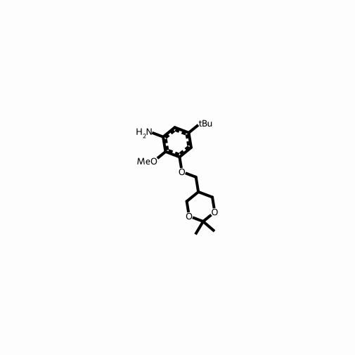 COc1c(N)cc(C(C)(C)C)cc1OCC1COC(C)(C)OC1